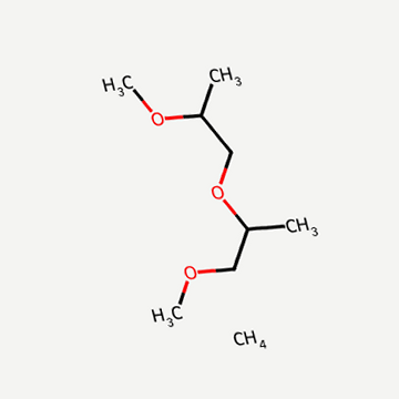 C.COCC(C)OCC(C)OC